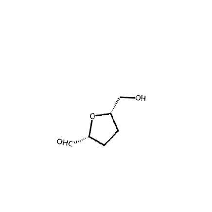 O=C[C@H]1CC[C@@H](CO)O1